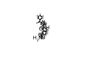 C=C(c1ccccc1)c1nnc(NC(=O)c2cc(S(N)(=O)=O)ccc2F)s1